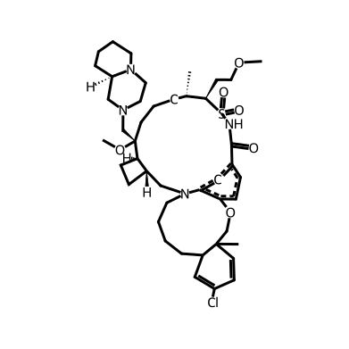 COCC[C@@H]1[C@@H](C)CCC[C@@](CN2CCN3CCCC[C@@H]3C2)(OC)[C@@H]2CC[C@H]2CN2CCCCC3C=C(Cl)C=CC3(C)COc3ccc(cc32)C(=O)NS1(=O)=O